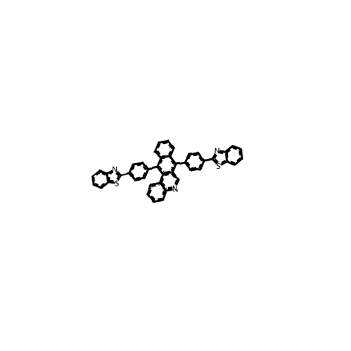 c1ccc2sc(-c3ccc(-c4c5ccccc5c(-c5ccc(-c6nc7ccccc7s6)cc5)c5c4cnc4ccccc45)cc3)nc2c1